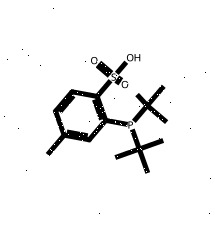 Cc1ccc(S(=O)(=O)O)c(P(C(C)(C)C)C(C)(C)C)c1